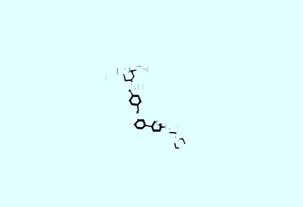 CC1(C)CC(NC(=O)c2ccc(COc3cccc(-c4ccc(NCCN5CCOCC5)nc4)c3)cc2)CC(C)(C)N1